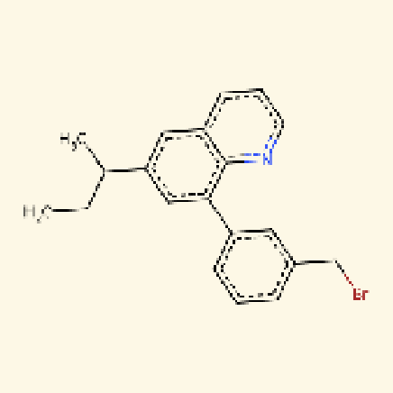 CCC(C)c1cc(-c2cccc(CBr)c2)c2ncccc2c1